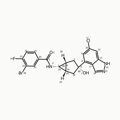 O=C(N[C@@H]1[C@@H]2C[C@@](O)(c3cc(Cl)cc4[nH]ncc34)C[C@@H]21)c1ccc(F)c(Br)c1